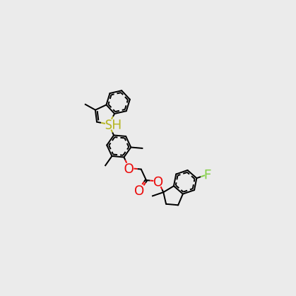 CC1=C[SH](c2cc(C)c(OCC(=O)OC3(C)CCc4cc(F)ccc43)c(C)c2)c2ccccc21